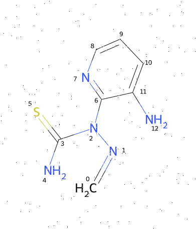 C=NN(C(N)=S)c1ncccc1N